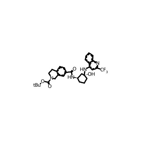 CC(C)(C)OC(=O)N1CCc2ccc(C(=O)N[C@@H]3CCC[C@](O)(Nc4cc(C(F)(F)F)nc5ccccc45)C3)cc2C1